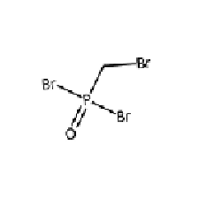 O=P(Br)(Br)CBr